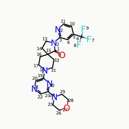 O=C1N(c2cc(C(F)(F)F)ccn2)CCC12CCN(c1cncc(N3CCOCC3)n1)CC2